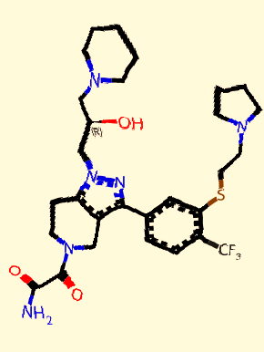 NC(=O)C(=O)N1CCc2c(c(-c3ccc(C(F)(F)F)c(SCCN4CCCC4)c3)nn2C[C@H](O)CN2CCCCC2)C1